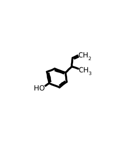 C=CC(C)c1ccc(O)cc1